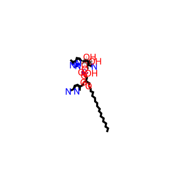 CCCCCCCCCCCCCCCCCCOCC(COP(=O)(O)OC[C@@]1(C#N)O[C@@H](c2ccc3c(C)ncnn23)[C@H](O)[C@@H]1O)OCc1ccc(C#N)nc1